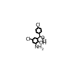 CCOC(c1ccc(Cl)cc1)c1cc(Cl)cc(N)c1O